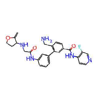 C=C1OCCC1NCC(=O)Nc1cccc(-c2cc(C(=O)Nc3ccncc3F)ccc2CN)c1